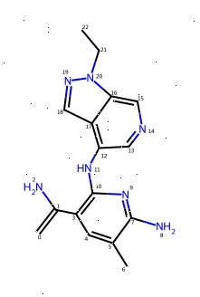 C=C(N)c1cc(C)c(N)nc1Nc1cncc2c1cnn2CC